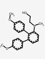 COc1ccc(-c2cccc(N(C)CCO)c2-c2ccc(OC)cc2)cc1